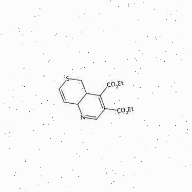 CCOC(=O)C1=C(C(=O)OCC)C2CSC=CC2N=C1